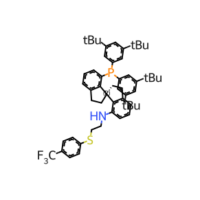 CC(C)(C)c1cc(P(c2cc(C(C)(C)C)cc(C(C)(C)C)c2)c2cccc3c2[C@]2(CCc4cccc(NCCSc5ccc(C(F)(F)F)cc5)c42)CC3)cc(C(C)(C)C)c1